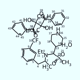 CCN(C(C)Cc1cccc(C(F)(F)F)c1)C(C1CCNCC1)S(C)(=O)=O.O.O=C(O)C(O)(C(=O)c1ccccc1)C(O)(C(=O)O)C(=O)c1ccccc1